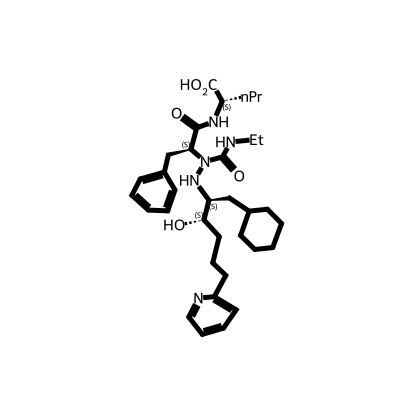 CCC[C@H](NC(=O)[C@H](Cc1ccccc1)N(N[C@@H](CC1CCCCC1)[C@@H](O)CCCc1ccccn1)C(=O)NCC)C(=O)O